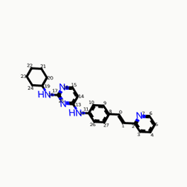 C(=Cc1ccccn1)c1ccc(Nc2ccnc(NC3CCCCC3)n2)cc1